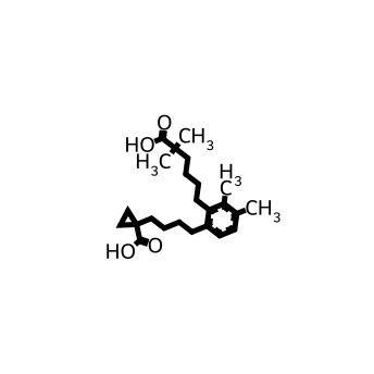 Cc1ccc(CCCCC2(C(=O)O)CC2)c(CCCCC(C)(C)C(=O)O)c1C